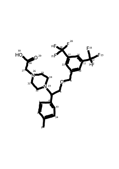 Cc1ccc(C(COCc2cc(C(F)(F)F)cc(C(F)(F)F)c2)N2CCN(CC(=O)O)CC2)cc1